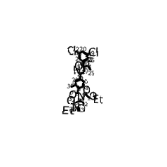 CCOCC(=O)N(C(=O)c1ccc(C2=NOC(c3cc(Cl)cc(Cl)c3)(C(C)F)C2)cc1C)[C@@H]1CON(CC)C1=O